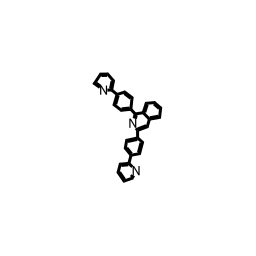 c1ccc(-c2ccc(-c3cc4ccccc4c(-c4ccc(-c5ccccn5)cc4)n3)cc2)nc1